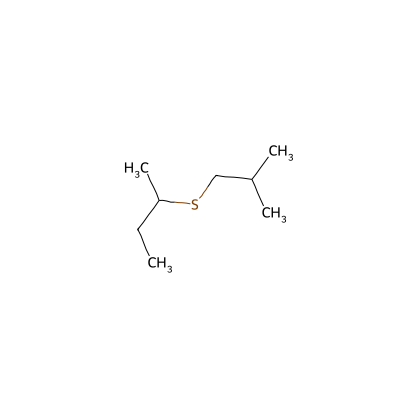 CCC(C)SCC(C)C